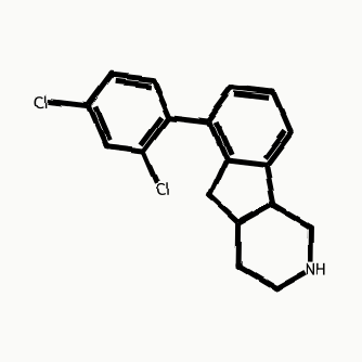 Clc1ccc(-c2cccc3c2CC2CCNCC32)c(Cl)c1